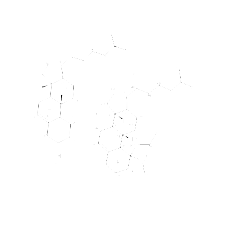 CC(C)CCC[C@@H](C)[C@H]1CC[C@H]2[C@@H]3CC=C4C[C@@H](O)CC[C@]4(C)[C@H]3CC[C@]12C.CCOC1(OC)C[C@H](O)CC2=CC[C@H]3[C@@H]4CC[C@H]([C@H](C)CCCC(C)C)[C@@]4(C)CC[C@@H]3[C@]21C